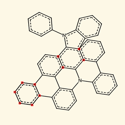 c1ccc(-c2ccccc2-c2c(-c3ccccc3)cccc2N(c2ccc3c(c2)c2ccccc2n3-c2ccccc2)c2ccccc2-c2ccccc2)cc1